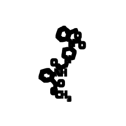 COC(=O)c1ccccc1NC(=O)CN1CCC(N2C(=O)OCc3ccccc32)CC1